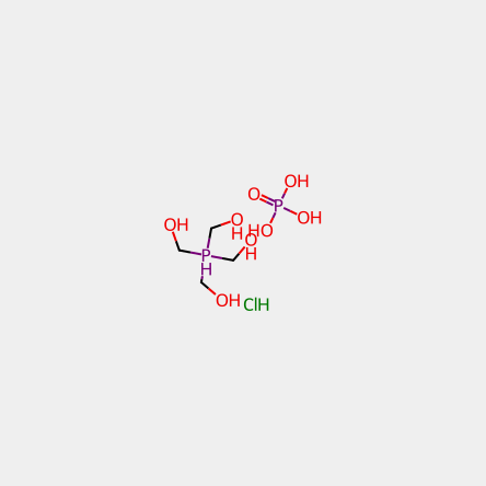 Cl.O=P(O)(O)O.OC[PH](CO)(CO)CO